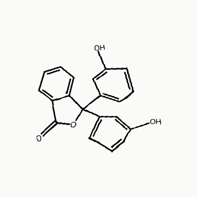 O=C1OC(c2cccc(O)c2)(c2cccc(O)c2)c2ccccc21